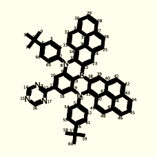 CC(C)(C)c1ccc(N2c3cc(-c4ncncn4)cc4c3B(c3cc5ccc6cccc7ccc(c32)c5c67)c2cc3ccc5cccc6ccc(c2N4c2ccc(C(C)(C)C)cc2)c3c56)cc1